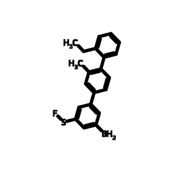 Bc1cc(SF)cc(-c2ccc(-c3ccccc3CC)c(C)c2)c1